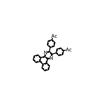 CC(=O)c1ccc(-c2nc3c4ccccc4c4ccccc4c3nc2-c2ccc(C(C)=O)cc2)cc1